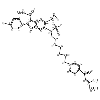 CNC(=O)c1c(-c2ccc(F)cc2)oc2cc(N(CCOCCOCc3ccc(C(=O)/C=C(\O)C(=O)O)cc3)S(C)(=O)=O)c(C3CC3)cc12